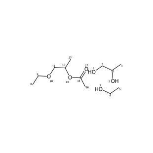 CC(O)CO.CCO.CCOCC(C)OC(C)=O